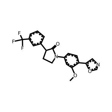 COc1cc(N2CCC(c3cccc(C(F)(F)F)c3)C2=O)ccc1-c1cnco1